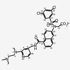 CN(C)CCN(C)c1cc(CNC(=O)c2cccc3cc(N(CC(=O)O)S(=O)(=O)c4cc(Cl)cc(Cl)c4)ccc23)ccn1